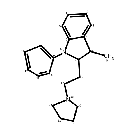 CC1c2ccccc2N(c2ccccc2)C1CCN1CCCC1